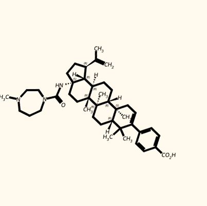 C=C(C)[C@@H]1CC[C@]2(NC(=O)N3CCCN(C)CC3)CC[C@]3(C)[C@H](CC[C@@H]4[C@@]5(C)CC=C(c6ccc(C(=O)O)cc6)C(C)(C)[C@@H]5CC[C@]43C)[C@@H]12